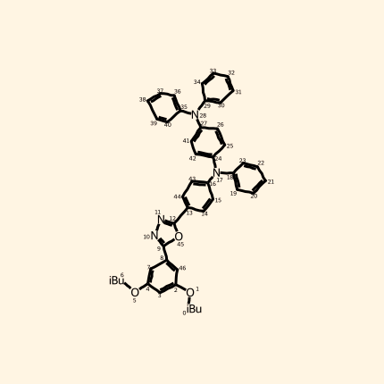 CCC(C)Oc1cc(OC(C)CC)cc(-c2nnc(-c3ccc(N(c4ccccc4)c4ccc(N(c5ccccc5)c5ccccc5)cc4)cc3)o2)c1